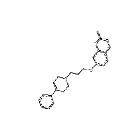 O=c1ccc2ccc(OCCCN3CC=C(c4ccccc4)CC3)cc2o1